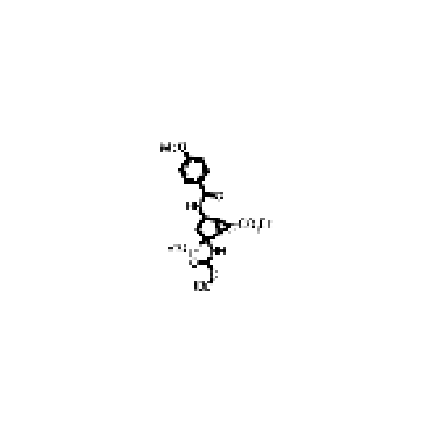 CCOC(=O)[C@H]1C2C(NC(=O)c3ccc(OC)cc3)CC(NC(=O)OC(C)(C)C)(C(=O)OCC)C21